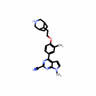 Cc1cc(-c2nc(C#N)nc3c2ccn3C)ccc1OCCC1C2CCC1CNC2